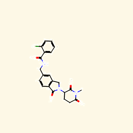 CN1C(=O)CCC(N2Cc3cc(CNC(=O)c4ccccc4Cl)ccc3C2=O)C1=O